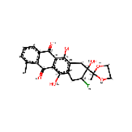 Cc1cccc2c1C(=O)c1c(O)c3c(c(O)c1C2=O)CC(O)(C1(C)OCCO1)C(F)C3